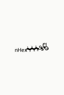 CCCCCCCCCCCCSSC(=O)Cl